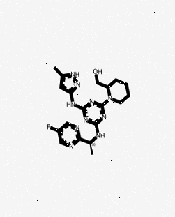 Cc1cc(Nc2nc(N[C@@H](C)c3ncc(F)cn3)nc(N3CCCCC3CO)n2)n[nH]1